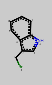 Br[CH]c1c[nH]c2ccccc12